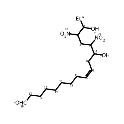 CCC(O)C(CC(C(O)C/C=C\CCCCCCC[C]=O)[N+](=O)[O-])[N+](=O)[O-]